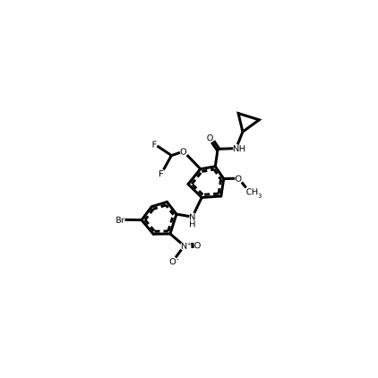 COc1cc(Nc2ccc(Br)cc2[N+](=O)[O-])cc(OC(F)F)c1C(=O)NC1CC1